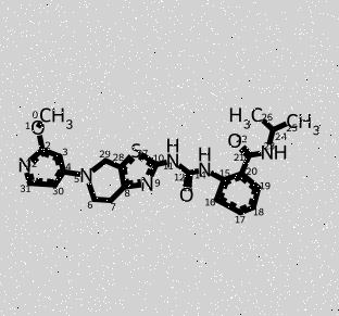 COc1cc(N2CCc3nc(NC(=O)Nc4ccccc4C(=O)NC(C)C)sc3C2)ccn1